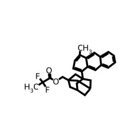 Cc1ccc(C23CC4CC(CC(COC(=O)C(C)(F)F)(C4)C2)C3)c2cc3ccccc3cc12